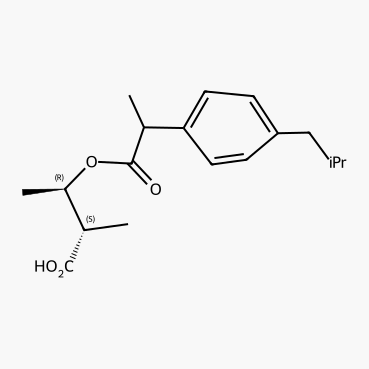 CC(C)Cc1ccc(C(C)C(=O)O[C@H](C)[C@H](C)C(=O)O)cc1